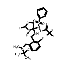 CN(Cc1cccc(F)c1CNC1(N(OC(=O)C(F)(F)F)S(=O)(=O)c2ccccc2)CSC(F)N1F)C(C)(C)C